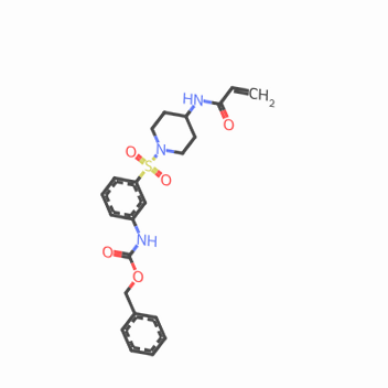 C=CC(=O)NC1CCN(S(=O)(=O)c2cccc(NC(=O)OCc3ccccc3)c2)CC1